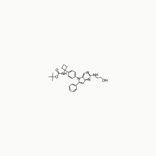 CC(C)(C)OC(=O)NC1(c2ccc(-n3c(-c4ccccc4)cc4nc(NCCO)ncc43)cc2)CCC1